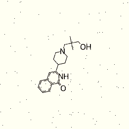 CC(C)(CO)CN1CCC(c2cc3ccccc3c(=O)[nH]2)CC1